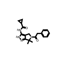 CC1(C)c2n[nH]c(NC(=O)C3CC3)c2CN1C(=O)Cc1ccccc1